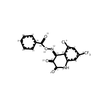 O=C1Nc2cc(C(F)(F)F)cc(Cl)c2C(=NOC(=O)c2ccccc2)C1=O